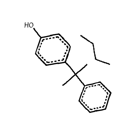 CC(C)(c1ccccc1)c1ccc(O)cc1.CCCC